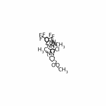 CCOC(=O)C[C@H]1CC[C@H](CN(CC)c2ncc(Cl)cc2CN(Cc2cc(C(F)(F)F)cc(C(F)(F)F)c2)c2nnn(C)n2)CC1